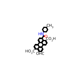 CC1CCC(NC(=O)c2ccc3c4ccc(C(=O)O)c5c(C=O)ccc(c6ccc(C(=O)O)c2c63)c54)CC1